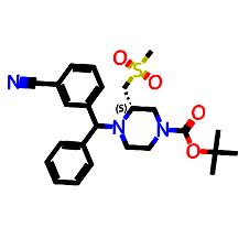 CC(C)(C)OC(=O)N1CCN(C(c2ccccc2)c2cccc(C#N)c2)[C@H](CS(C)(=O)=O)C1